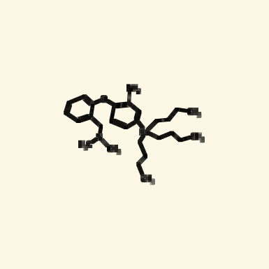 CCC[CH2][Sn]([CH2]CCC)([CH2]CCC)[c]1ccc(Oc2ccccc2CN(C)C)c(N)c1